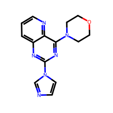 c1cnc2c(N3CCOCC3)nc(-n3ccnc3)nc2c1